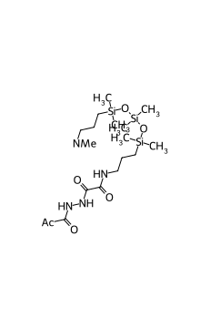 CNCCC[Si](C)(C)O[Si](C)(C)O[Si](C)(C)CCCNC(=O)C(=O)NNC(=O)C(C)=O